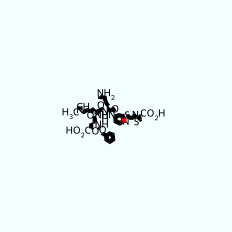 CN(C)CCCC[C@H](NC(=O)[C@H](CCC(=O)O)NC(=O)OCc1ccccc1)C(=O)N[C@@H](CCCCN)C(=O)Nc1ccc2nc(C3=N[C@@H](C(=O)O)CS3)sc2c1